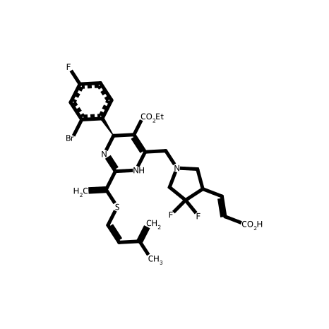 C=C(C)/C=C\SC(=C)C1=N[C@@H](c2ccc(F)cc2Br)C(C(=O)OCC)=C(CN2CC(/C=C/C(=O)O)C(F)(F)C2)N1